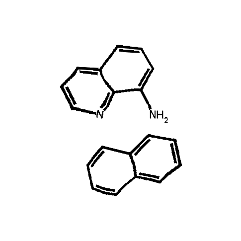 Nc1cccc2cccnc12.c1ccc2ccccc2c1